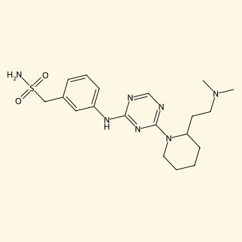 CN(C)CCC1CCCCN1c1ncnc(Nc2cccc(CS(N)(=O)=O)c2)n1